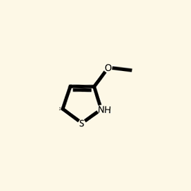 COC1=C[C]SN1